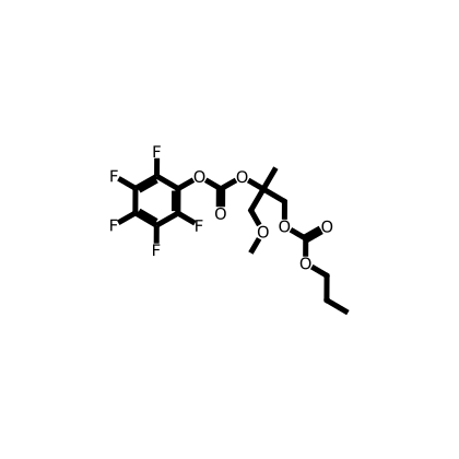 CCCOC(=O)OCC(C)(COC)OC(=O)Oc1c(F)c(F)c(F)c(F)c1F